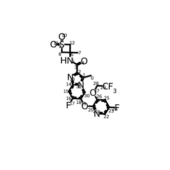 Cc1c(C(=O)NC2(C)CS(=O)(=O)C2)nc2cc(F)c(Oc3ncc(F)cc3OCC(F)(F)F)cn12